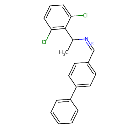 CC(/N=C\c1ccc(-c2ccccc2)cc1)c1c(Cl)cccc1Cl